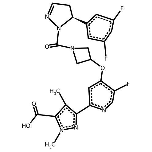 Cc1c(-c2cc(OC3CN(C(=O)N4N=CC[C@H]4c4cc(F)cc(F)c4)C3)c(F)cn2)nn(C)c1C(=O)O